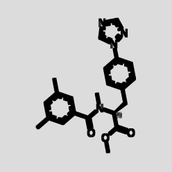 COC(=O)[C@H](Cc1ccc(-n2cncn2)cc1)N(C)C(=O)c1cc(C)cc(C)c1